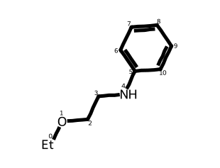 CCOCCNc1ccccc1